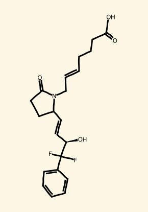 O=C(O)CCCC=CCN1C(=O)CCC1C=C[C@@H](O)C(F)(F)c1ccccc1